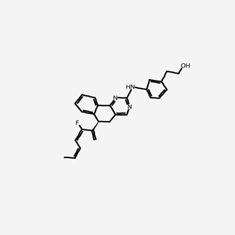 C=C(/C(F)=C\C=C/C)[C@@H]1Cc2cnc(Nc3cccc(CCO)c3)nc2-c2ccccc21